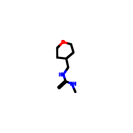 C=C(NC)NCC1CCOCC1